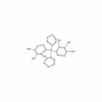 Oc1ccc(C(c2ccccc2)(c2ccccc2)c2ccc(O)c(O)c2O)c(O)c1O